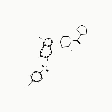 C[C@H]1C[C@H](c2cn(C)c3ccc(NS(=O)(=O)c4ccc(F)cc4)cc23)CCN1C(=O)C1CCCC1